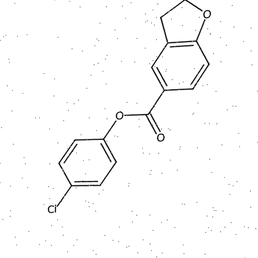 O=C(Oc1ccc(Cl)cc1)c1ccc2c(c1)CCO2